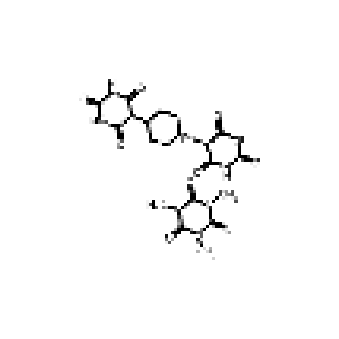 CC(C)C1C(=O)NC(=O)NC1=O.CC1C(=O)N(C)C(=O)N(C)C1=O.O=C1NC(=O)C(C2CCCCC2)C(=O)N1